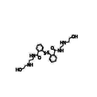 O=C(NCCNCCO)c1ccccc1SSc1ccccc1C(=O)NCCNCCO